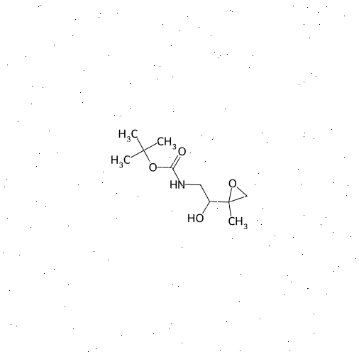 CC(C)(C)OC(=O)NCC(O)C1(C)CO1